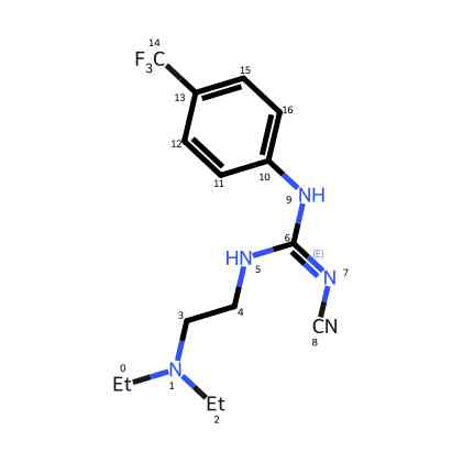 CCN(CC)CCN/C(=N\C#N)Nc1ccc(C(F)(F)F)cc1